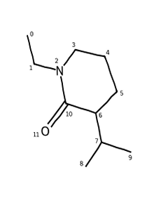 CCN1CCCC(C(C)C)C1=O